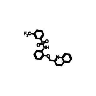 O=S(=O)(Nc1ccccc1OCc1ccc2ccccc2n1)c1cccc(C(F)(F)F)c1